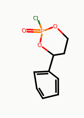 O=P1(Cl)OCCC(c2ccccc2)O1